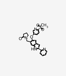 CS(=O)(=O)c1ccc(Oc2cc3cc(-c4ccccn4)[nH]c3cc2CN2CCCC2=O)cn1